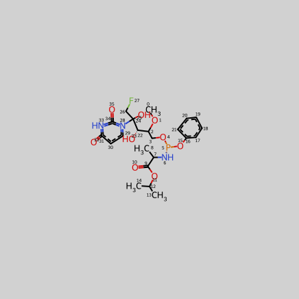 COC(CO[P@@](NC(C)C(=O)OC(C)C)Oc1ccccc1)[C@H](O)C(O)(CF)n1ccc(=O)[nH]c1=O